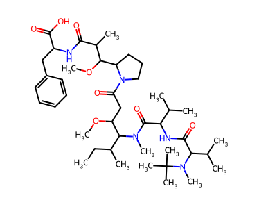 CCC(C)C(C(CC(=O)N1CCCC1C(OC)C(C)C(=O)NC(Cc1ccccc1)C(=O)O)OC)N(C)C(=O)C(NC(=O)C(C(C)C)N(C)C(C)(C)C)C(C)C